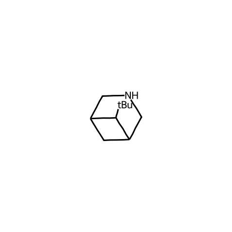 CC(C)(C)C1C2CNCC1C2